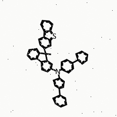 CC1(c2ccc3c(c2)sc2ccccc23)c2ccccc2-c2ccc(N(c3ccc(-c4ccccc4)cc3)c3ccc(-c4ccccc4)cc3)cc21